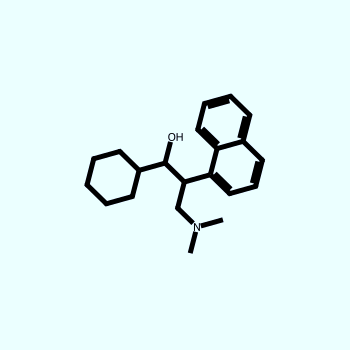 CN(C)CC(c1cccc2ccccc12)C(O)C1CCCCC1